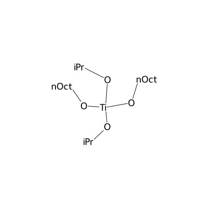 CCCCCCCC[O][Ti]([O]CCCCCCCC)([O]C(C)C)[O]C(C)C